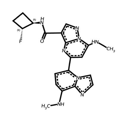 CNc1ccc(-c2cc(NC)n3ncc(C(=O)N[C@@H]4CC[C@H]4F)c3n2)n2ccnc12